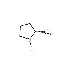 O=C(O)[C@H]1CCCN1I